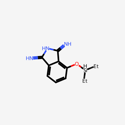 CC[SiH](CC)Oc1cccc2c1C(=N)NC2=N